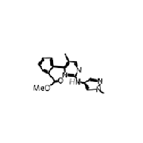 COC(=O)c1ccccc1-c1nc(Nc2cnn(C)c2)ncc1C